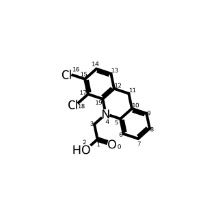 O=C(O)CN1c2ccccc2Cc2ccc(Cl)c(Cl)c21